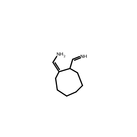 N=CC1CCCCCC/C1=C/N